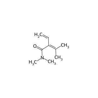 C=CC(C(=O)N(C)C)=C(C)C